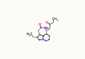 CCC(=O)COc1cccn2cc(CC)c(CC(N)=O)c12